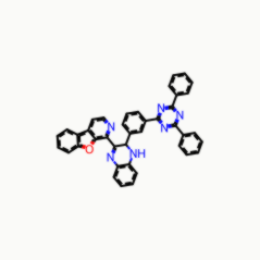 c1ccc(-c2nc(-c3ccccc3)nc(-c3cccc(C4Nc5ccccc5N=C4c4nccc5c4oc4ccccc45)c3)n2)cc1